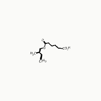 C=CC(C)=COC(=O)CCCCC(=O)O